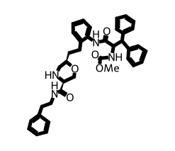 COC(=O)NC(C(=O)Nc1ccccc1CC[C@@H]1CN[C@H](C(=O)NCCc2ccccc2)CO1)C(c1ccccc1)c1ccccc1